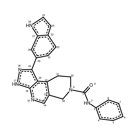 O=C(Nc1ccccc1)N1CCc2c(cnc3[nH]nc(-c4ccc5cc[nH]c5c4)c23)C1